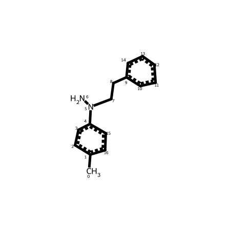 Cc1ccc(N(N)CCc2ccccc2)cc1